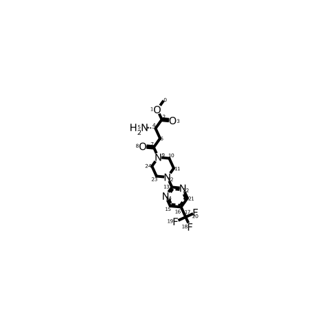 COC(=O)[C@@H](N)CC(=O)N1CCN(c2ncc(C(F)(F)F)cn2)CC1